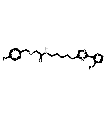 O=C(COCc1ccc(F)cc1)NCCCCCc1csc(-c2sccc2Br)n1